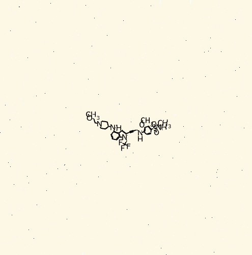 CNS(=O)(=O)c1ccc(NCC#Cc2cc3c(NC4CCN(CCOC)CC4)cccc3n2CC(F)(F)F)c(OC)c1